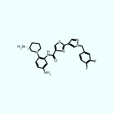 Nc1ccc(N2CCC[C@@H](N)C2)c(NC(=O)c2csc(-c3cnn(Cc4ccc(F)c(F)c4)c3)n2)c1